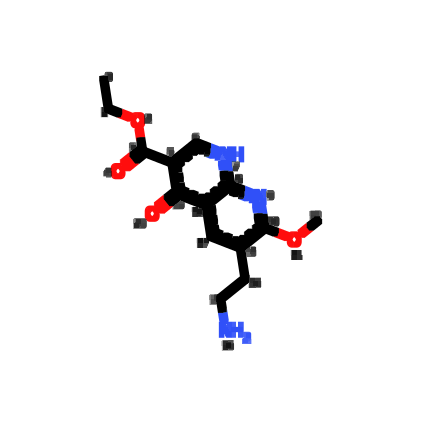 CCOC(=O)c1c[nH]c2nc(OC)c(CCN)cc2c1=O